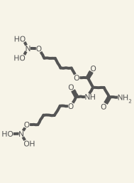 NC(=O)CC(NC(=O)OCCCCON(O)O)C(=O)OCCCCON(O)O